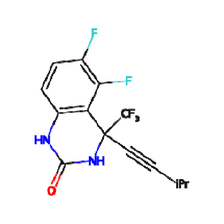 CC(C)C#CC1(C(F)(F)F)NC(=O)Nc2ccc(F)c(F)c21